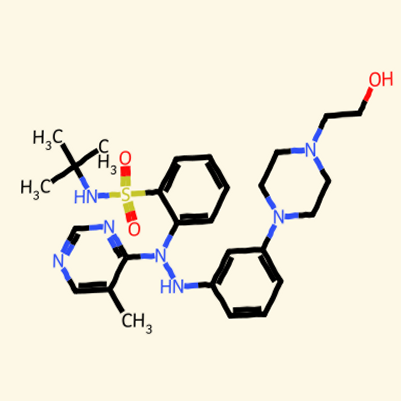 Cc1cncnc1N(Nc1cccc(N2CCN(CCO)CC2)c1)c1ccccc1S(=O)(=O)NC(C)(C)C